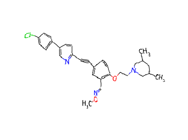 CON=Cc1cc(C#Cc2ccc(-c3ccc(Cl)cc3)cn2)ccc1OCCN1CC(C)CC(C)C1